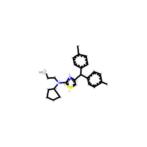 Cc1ccc(C(c2ccc(C)cc2)c2csc(N(CCC(=O)O)C3CCCC3)n2)cc1